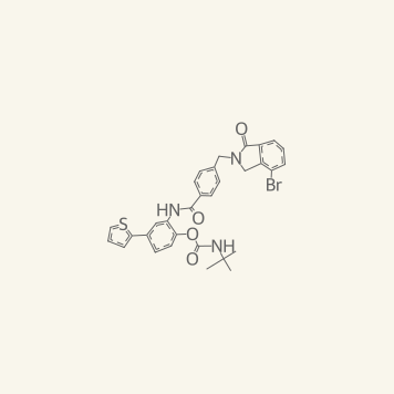 CC(C)(C)NC(=O)Oc1ccc(-c2cccs2)cc1NC(=O)c1ccc(CN2Cc3c(Br)cccc3C2=O)cc1